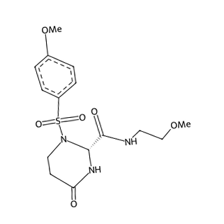 COCCNC(=O)[C@@H]1NC(=O)CCN1S(=O)(=O)c1ccc(OC)cc1